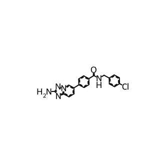 Nc1nc2ccc(-c3ccc(C(=O)NCc4ccc(Cl)cc4)cc3)cn2n1